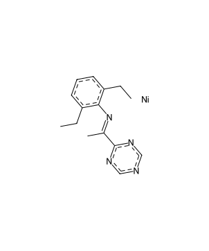 CCc1cccc(CC)c1N=C(C)c1ncncn1.[Ni]